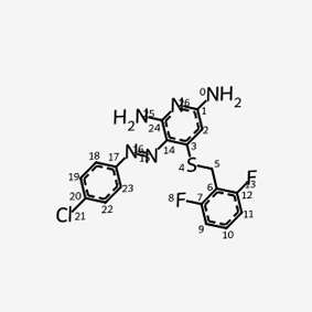 Nc1cc(SCc2c(F)cccc2F)c(N=Nc2ccc(Cl)cc2)c(N)n1